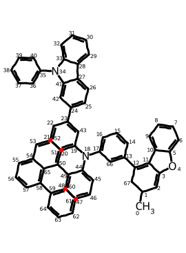 CC1C=c2oc3ccccc3c2=C(c2cccc(N(c3cccc(-c4ccc5c6ccccc6n(-c6ccccc6)c5c4)c3)c3ccccc3-c3cccc4cccc(-c5ccccc5)c34)c2)C1